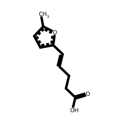 Cc1ccc(C=CCCC(=O)O)o1